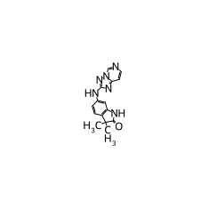 CC1(C)C(=O)Nc2cc(Nc3nc4ccncn4n3)ccc21